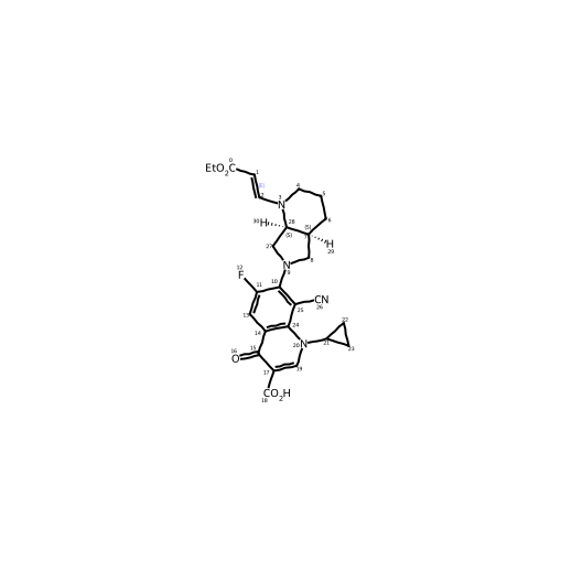 CCOC(=O)/C=C/N1CCC[C@H]2CN(c3c(F)cc4c(=O)c(C(=O)O)cn(C5CC5)c4c3C#N)C[C@H]21